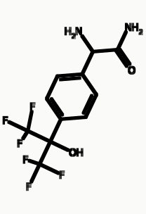 NC(=O)C(N)c1ccc(C(O)(C(F)(F)F)C(F)(F)F)cc1